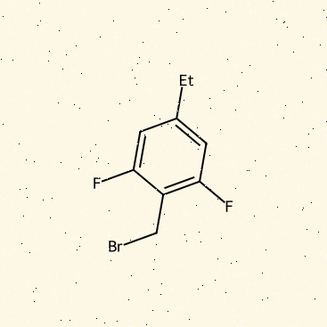 [CH2]Cc1cc(F)c(CBr)c(F)c1